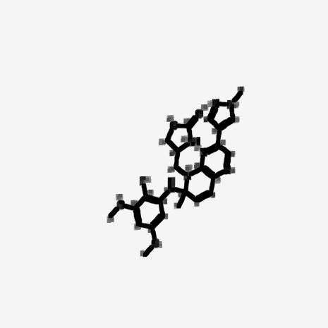 COc1cc(NC2(C)C=Cc3ncc(-c4cnn(C)c4)nc3N2CC2COC(=O)N2)c(F)c(OC)c1